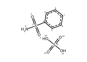 NS(=O)(=O)c1ccccc1.O=S(=O)(O)O